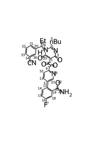 CCCCc1nc(=O)c(S(=O)(=O)c2ccc(-c3ccc(F)cc3C(N)=O)cn2)c(O)n1C(CC)c1cccc(C#N)c1